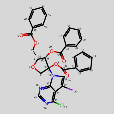 O=C(OC[C@H]1OC[C@@](OC(=O)c2ccccc2)(n2cc(I)c3c(Cl)ncnc32)[C@@H]1OC(=O)c1ccccc1)c1ccccc1